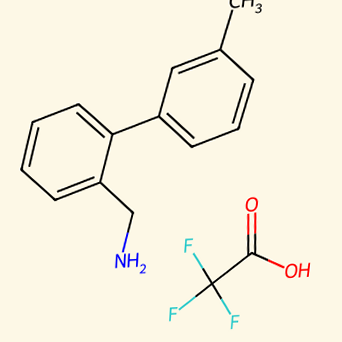 Cc1cccc(-c2ccccc2CN)c1.O=C(O)C(F)(F)F